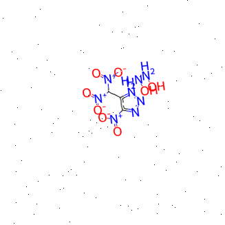 NO.NO.O=[N+]([O-])c1nn[nH]c1C([N+](=O)[O-])[N+](=O)[O-]